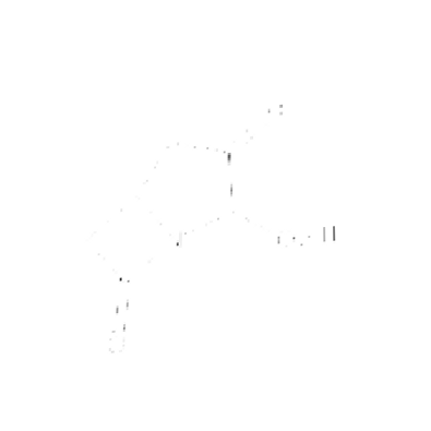 O=C(O)C1C(=O)CC2CC(=O)N21